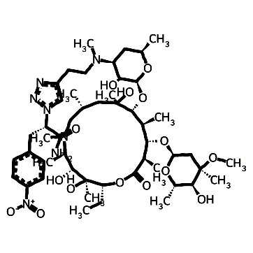 CC[C@H]1OC(=O)[C@H](C)[C@@H](O[C@H]2C[C@@](C)(OC)[C@@H](O)[C@H](C)O2)[C@H](C)[C@@H](O[C@@H]2O[C@H](C)C[C@H](N(C)CCc3cn([C@@H](Cc4ccc([N+](=O)[O-])cc4)C(N)=O)nn3)[C@H]2O)[C@](C)(O)C[C@@H](C)CN(C)[C@H](C)[C@@H](O)[C@]1(C)O